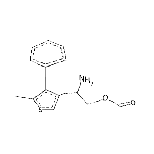 Cc1scc(C(N)COC=O)c1-c1ccccc1